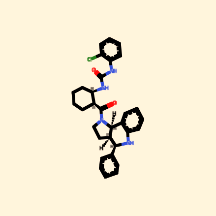 O=C(Nc1ccccc1Cl)N[C@@H]1CCCC[C@@H]1C(=O)N1CC[C@@H]2[C@H](c3ccccc3)Nc3ccccc3[C@@H]21